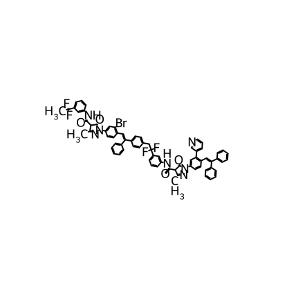 CC1=NN(c2ccc(/C=C(\c3ccccc3)c3ccc(CC(F)(F)c4cccc(NC(=O)C5C(=O)N(c6ccc(C=C(c7ccccc7)c7ccccc7)c(-c7cccnc7)c6)N=C5C)c4)cc3)c(Br)c2)C(=O)C1C(=O)Nc1cccc(C(C)(F)F)c1